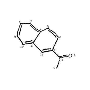 C[P](=O)c1ccc2ccccc2c1